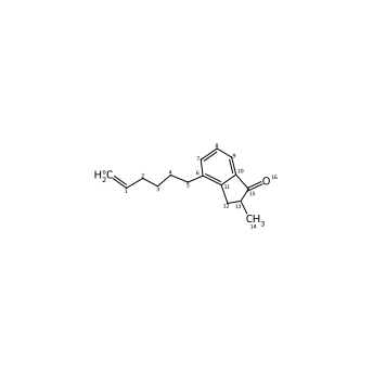 C=CCCCCc1cccc2c1CC(C)C2=O